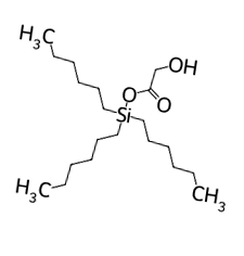 CCCCCC[Si](CCCCCC)(CCCCCC)OC(=O)CO